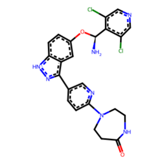 N[C@@H](Oc1ccc2[nH]nc(-c3ccc(N4CCNC(=O)CC4)nc3)c2c1)c1c(Cl)cncc1Cl